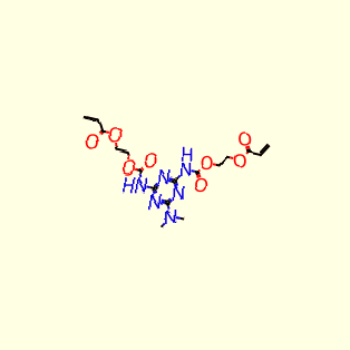 C=CC(=O)OCCOC(=O)Nc1nc(NC(=O)OCCOC(=O)C=C)nc(N(C)C)n1